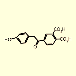 O=C(Cc1ccc(O)cc1)c1ccc(C(=O)O)c(C(=O)O)c1